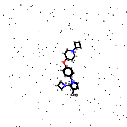 O=Cc1ccn(-c2ccc(OC3CCN(C4CCC4)CC3)cc2)c1N1CCC1